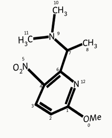 COc1ccc([N+](=O)[O-])c(C(C)N(C)C)n1